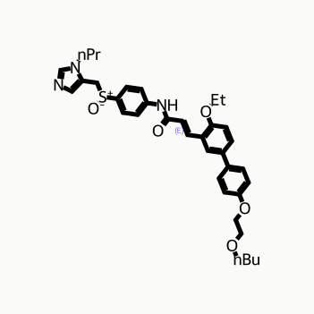 CCCCOCCOc1ccc(-c2ccc(OCC)c(/C=C/C(=O)Nc3ccc([S+]([O-])Cc4cncn4CCC)cc3)c2)cc1